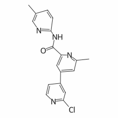 Cc1ccc(NC(=O)c2cc(-c3ccnc(Cl)c3)cc(C)n2)nc1